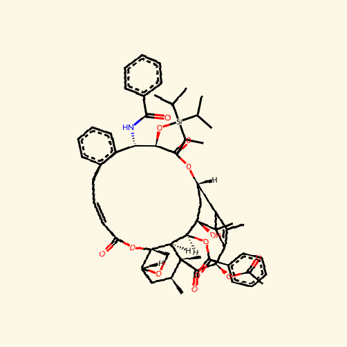 CC(=O)O[C@H]1C(=O)[C@@]2(C)[C@@H]3[C@H](OC(=O)c4ccccc4)[C@]4(O)C[C@H](OC(=O)[C@H](O[Si](C(C)C)(C(C)C)C(C)C)[C@@H](NC(=O)c5ccccc5)c5ccccc5C/C=C\C(=O)O[C@]35CO[C@@H]5C[C@@H]2C)C(C)=C1C4(C)C